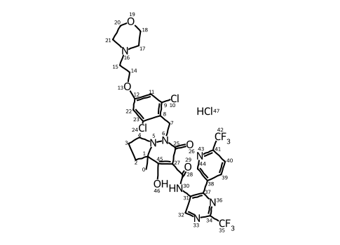 CC12CCCN1N(Cc1c(Cl)cc(OCCN3CCOCC3)cc1Cl)C(=O)C(C(=O)Nc1cnc(C(F)(F)F)nc1-c1ccc(C(F)(F)F)nc1)=C2O.Cl